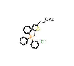 CC(=O)OCCc1ccc(C[P+](c2ccccc2)(c2ccccc2)c2ccccc2)s1.[Cl-]